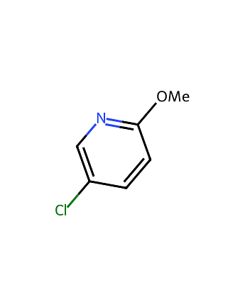 [CH2]Oc1ccc(Cl)cn1